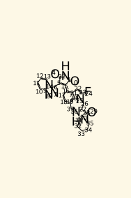 O=C1NC(=O)C(c2nnc3ccccn23)=C1c1ccc2c3c1cc(F)n3CC(C(=O)N1CCCCC1)NC2